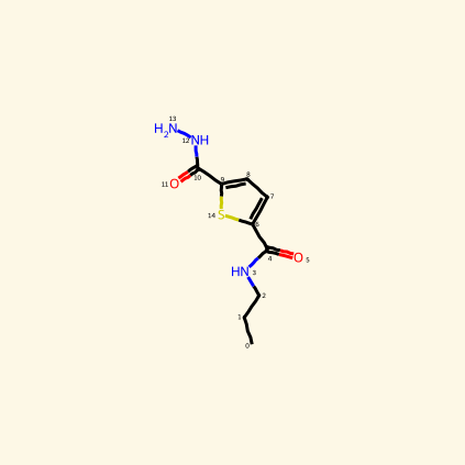 CCCNC(=O)c1ccc(C(=O)NN)s1